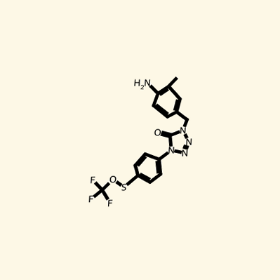 Cc1cc(Cn2nnn(-c3ccc(SOC(F)(F)F)cc3)c2=O)ccc1N